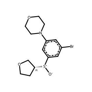 [O-][S+](c1cc(Br)cc(N2CCOCC2)c1)[C@@H]1CCOC1